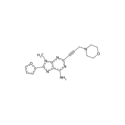 Cn1c(-c2ccco2)nc2c(N)nc(C#CCN3CCOCC3)nc21